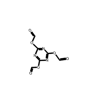 O=COc1nc(OC=O)nc(OC=O)n1